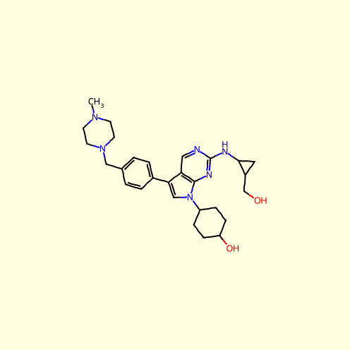 CN1CCN(Cc2ccc(-c3cn(C4CCC(O)CC4)c4nc(NC5CC5CO)ncc34)cc2)CC1